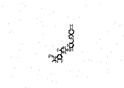 Cc1nc2c(F)cc(-c3nc(Nc4ccc(CN5CCC6(CCNCC6)C5)cn4)ncc3F)cc2n1C(C)C